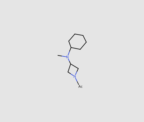 CC(=O)N1CC(N(C)C2CCCCC2)C1